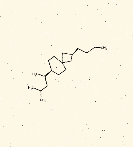 CCCC[C@H]1CC2(CC[C@H](N(C)CC(C)C)CC2)C1